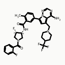 Cc1ccc(-c2cc(CN3CCC(C(F)(F)F)CC3)c3c(N)ncnn23)cc1C(=O)N[C@@H]1CN(C(=O)c2ccccc2F)C[C@@H]1F